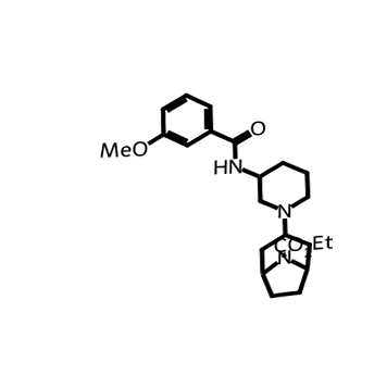 CCOC(=O)N1C2CCC1CC(N1CCCC(NC(=O)c3cccc(OC)c3)C1)C2